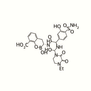 CCN1CCN(C(O)N[C@@H](C(=O)N[C@H]2Cc3cccc(C(=O)O)c3OB2O)c2ccc(S(N)(=O)=O)c(O)c2)C(=O)C1=O